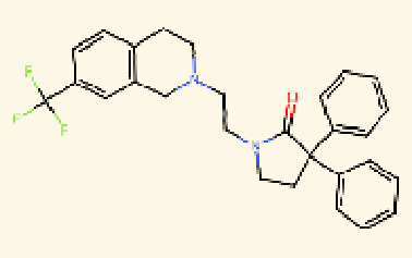 O=C1N(CCN2CCc3ccc(C(F)(F)F)cc3C2)CCC1(c1ccccc1)c1ccccc1